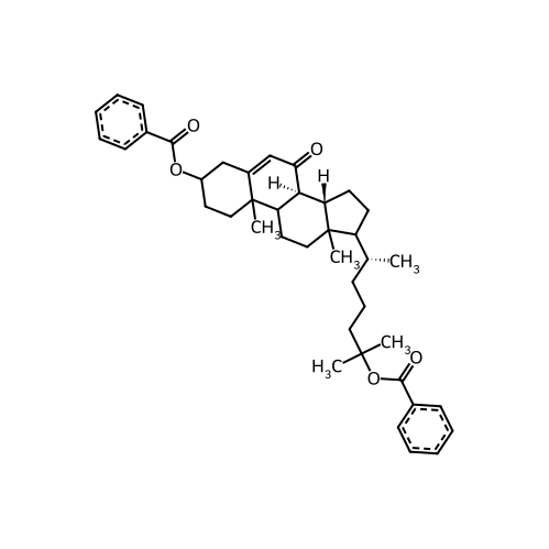 C[C@H](CCCC(C)(C)OC(=O)c1ccccc1)C1CC[C@H]2[C@@H]3C(=O)C=C4CC(OC(=O)c5ccccc5)CCC4(C)C3CCC12C